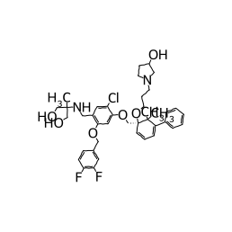 CC(CO)(CO)NCc1cc(Cl)c(OC[C@@]2(OCCCN3CCC(O)C3)C=CC=C(c3ccccc3)C2(C)C)cc1OCc1ccc(F)c(F)c1